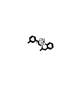 COc1ccccc1CC(C)NC[C@H](O)c1cccc(C)c1